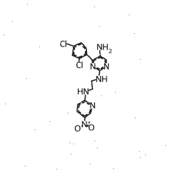 Nc1cnc(NCCNc2ccc([N+](=O)[O-])cn2)nc1-c1ccc(Cl)cc1Cl